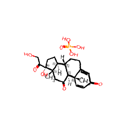 C[C@]12C=CC(=O)C=C1CC[C@@H]1[C@@H]2C(=O)C[C@@]2(C)[C@H]1CC[C@]2(O)C(=O)CO.O=P(O)(O)O